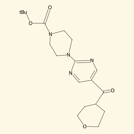 CC(C)(C)OC(=O)N1CCN(c2ncc(C(=O)C3CCOCC3)cn2)CC1